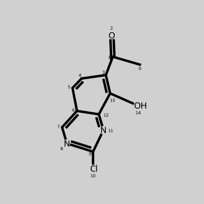 CC(=O)c1ccc2cnc(Cl)nc2c1O